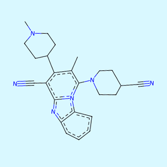 Cc1c(C2CCN(C)CC2)c(C#N)c2nc3ccccc3n2c1N1CCC(C#N)CC1